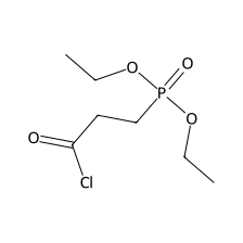 CCOP(=O)(CCC(=O)Cl)OCC